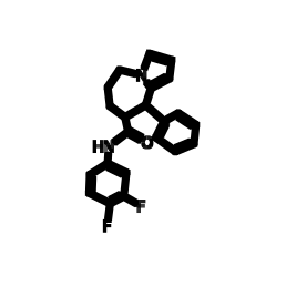 O=C(Nc1ccc(F)c(F)c1)C1CCCn2cccc2C1c1ccccc1